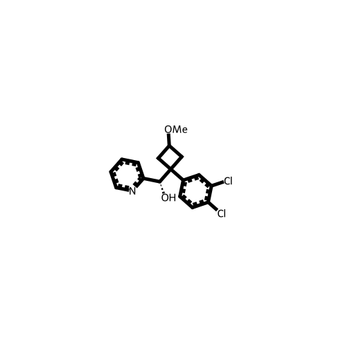 COC1CC(c2ccc(Cl)c(Cl)c2)([C@H](O)c2ccccn2)C1